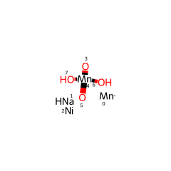 [Mn].[NaH].[Ni].[O]=[Mn](=[O])([OH])[OH]